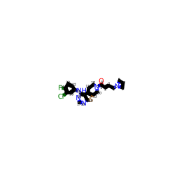 O=C(C=CCN1CCC1)N1CCc2c(sc3ncnc(Nc4ccc(F)c(Cl)c4)c23)C1